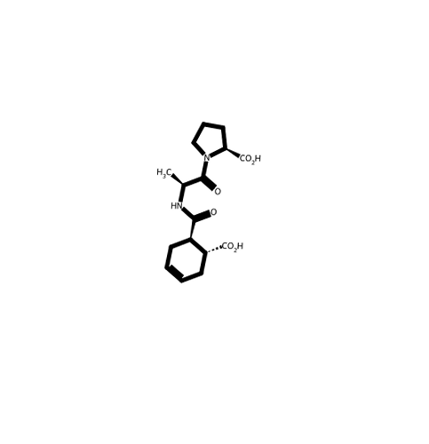 C[C@H](NC(=O)[C@@H]1CC=CC[C@H]1C(=O)O)C(=O)N1CCC[C@H]1C(=O)O